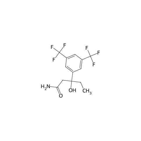 CCC(O)(CC(N)=O)c1cc(C(F)(F)F)cc(C(F)(F)F)c1